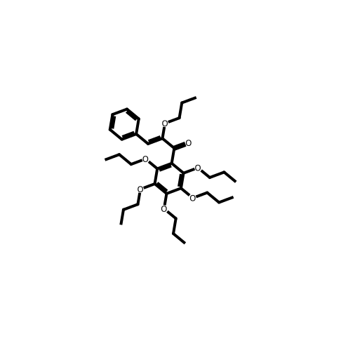 CCCOC(=Cc1ccccc1)C(=O)c1c(OCCC)c(OCCC)c(OCCC)c(OCCC)c1OCCC